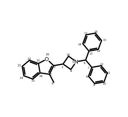 Cc1c(C2CN(C(c3ccccc3)c3ccccc3)C2)oc2ccccc12